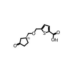 O=C1CC[C@H](COCc2ccc(C(=O)O)s2)C1